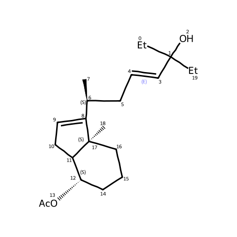 CCC(O)(/C=C/C[C@H](C)C1=CCC2[C@@H](OC(C)=O)CCC[C@]12C)CC